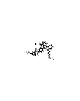 CCc1cnc(NC(=O)c2ccc(-c3nc(C4CCCCN4C(=O)/C=C/COC)n4ccnc(NC)c34)cc2)s1